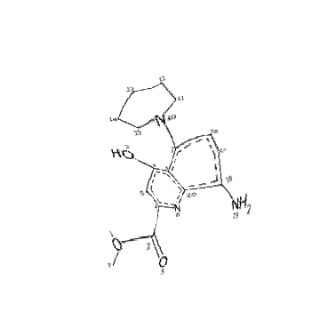 COC(=O)c1cc(O)c2c(N3CCCCC3)ccc(N)c2n1